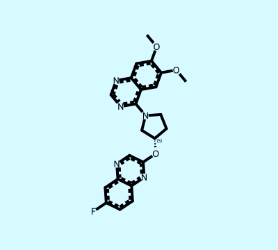 COc1cc2ncnc(N3CC[C@H](Oc4cnc5cc(F)ccc5n4)C3)c2cc1OC